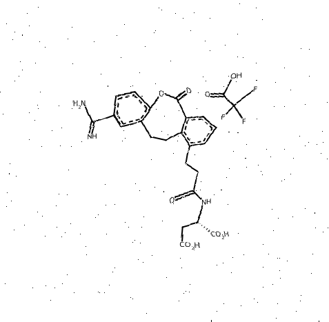 N=C(N)c1ccc2c(c1)CCc1c(CCC(=O)N[C@@H](CC(=O)O)C(=O)O)cccc1C(=O)O2.O=C(O)C(F)(F)F